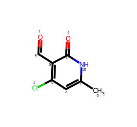 Cc1cc(Cl)c(C=O)c(=O)[nH]1